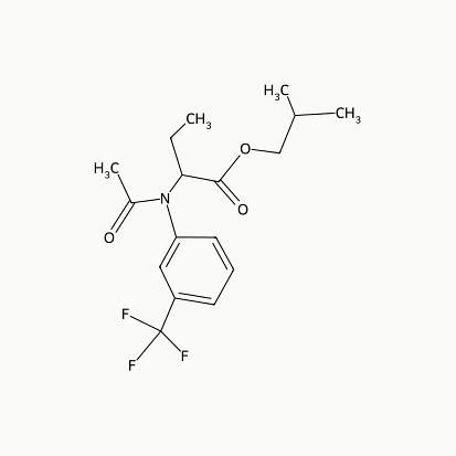 CCC(C(=O)OCC(C)C)N(C(C)=O)c1cccc(C(F)(F)F)c1